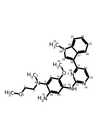 COCCN(C)c1cc(OC)c(Nc2nccc(-c3cn(C)c4ccccc34)n2)cc1N